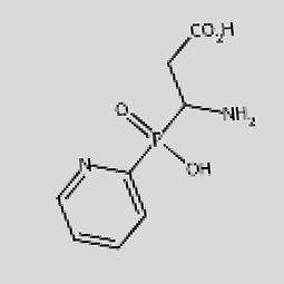 NC(C[13C](=O)O)P(=O)(O)c1ccccn1